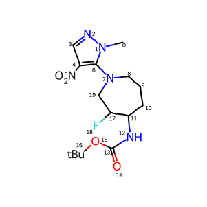 Cn1ncc([N+](=O)[O-])c1N1CCCC(NC(=O)OC(C)(C)C)C(F)C1